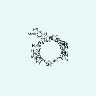 [2H]C([2H])([2H])O[C@H]1C[C@@H]2CC([2H])([2H])[C@@H](C)[C@@](O)(O2)C(=O)C(=O)N2CCCC[C@H]2C(=O)O[C@H]([C@H](C)C[C@@H]2CC[C@@H](O)[C@H](OC)C2)CC(=O)[C@H](C)/C=C(\C)[C@@H](O)[C@@H](OC)C(=C)[C@H](C)C[C@H](C)/C=C/C=C/C=C/1C